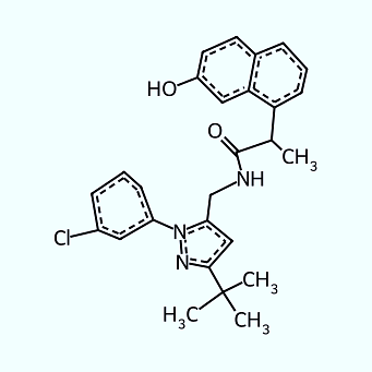 CC(C(=O)NCc1cc(C(C)(C)C)nn1-c1cccc(Cl)c1)c1cccc2ccc(O)cc12